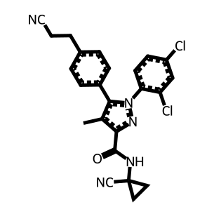 Cc1c(C(=O)NC2(C#N)CC2)nn(-c2ccc(Cl)cc2Cl)c1-c1ccc(CCC#N)cc1